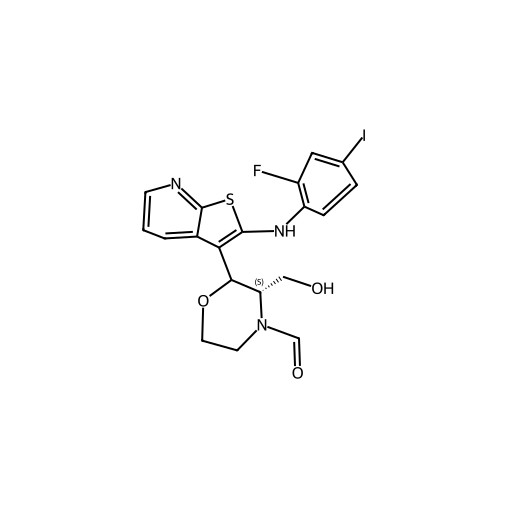 O=CN1CCOC(c2c(Nc3ccc(I)cc3F)sc3ncccc23)[C@@H]1CO